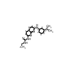 CCNC(=S)Nc1ccc2ncc(Nc3cccc(N(C)C)c3)nc2n1